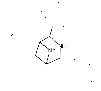 CC1NCC2CC1N2C